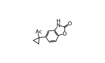 CC(=O)C1(c2ccc3oc(=O)[nH]c3c2)CC1